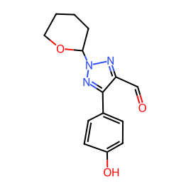 O=Cc1nn(C2CCCCO2)nc1-c1ccc(O)cc1